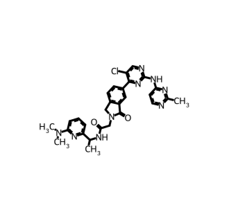 Cc1nccc(Nc2ncc(Cl)c(-c3ccc4c(c3)C(=O)N(CC(=O)NC(C)c3cccc(N(C)C)n3)C4)n2)n1